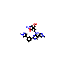 Cn1cc(-c2cccc(-c3ncc(-c4cnn(C)c4)c(NCCC(CN)(CO)CO)n3)c2)cn1